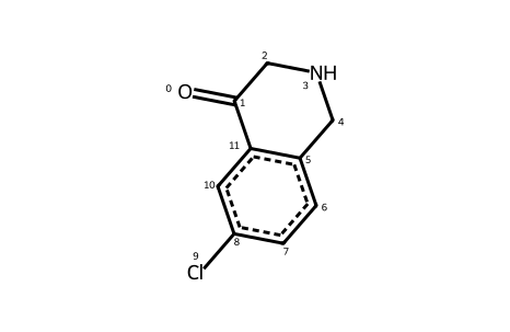 O=C1CNCc2ccc(Cl)cc21